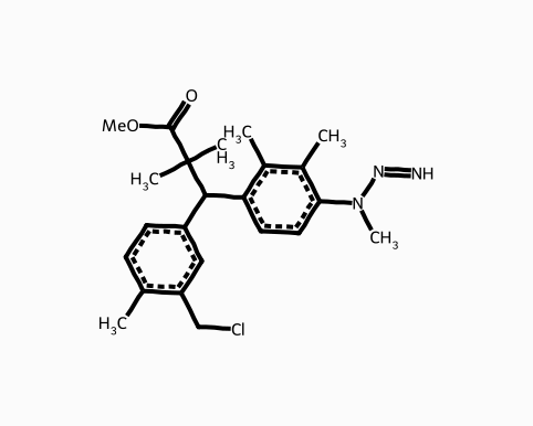 COC(=O)C(C)(C)C(c1ccc(C)c(CCl)c1)c1ccc(N(C)N=N)c(C)c1C